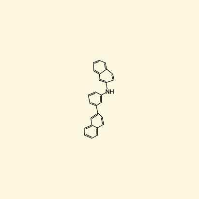 c1cc(Nc2ccc3ccccc3c2)cc(-c2ccc3ccccc3c2)c1